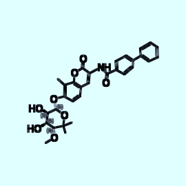 CO[C@@H]1[C@@H](O)[C@@H](O)[C@H](Oc2ccc3cc(NC(=O)c4ccc(-c5ccccc5)cc4)c(=O)oc3c2C)OC1(C)C